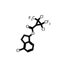 O=C(OC1CCc2c(Cl)cccc21)C1C(Cl)(C(F)(F)F)C1(Cl)C(F)(F)F